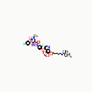 CC(C)n1cc(C(=O)Nc2ccc(Oc3ccnc4cc(OCCCCCCN(C)C)c5c(c34)OCCO5)c(F)c2)c(=O)n(-c2ccc(F)cc2)c1=O